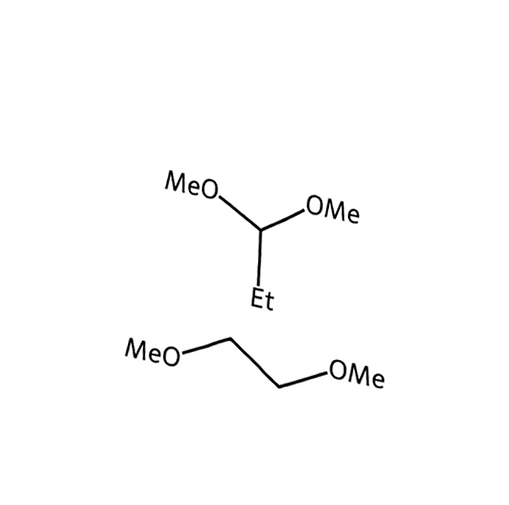 CCC(OC)OC.COCCOC